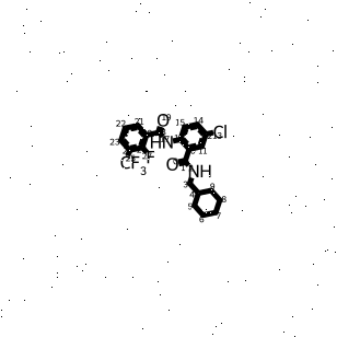 O=C(NCC1CCCCC1)c1cc(Cl)ccc1NC(=O)c1cccc(C(F)(F)F)c1F